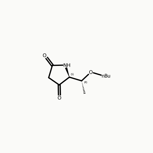 CCCCO[C@H](C)[C@@H]1NC(=O)CC1=O